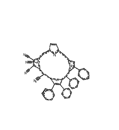 N#Cc1c(C#N)c2c(C#N)c3nc(c(-c4ccccc4)c4[nH]c(cc5nc(cc1n2C#N)C=C5)cc4-c1ccccc1)C(c1ccccc1)=C3c1ccccc1